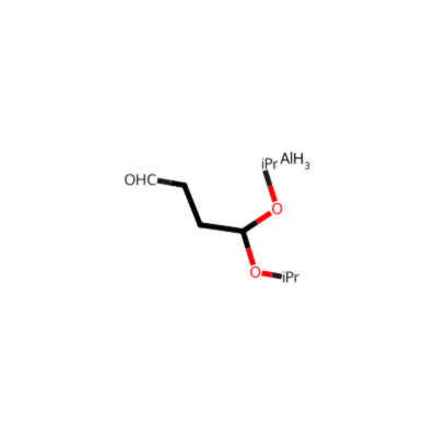 CC(C)OC(CCC=O)OC(C)C.[AlH3]